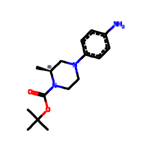 C[C@H]1CN(c2ccc(N)cc2)CCN1C(=O)OC(C)(C)C